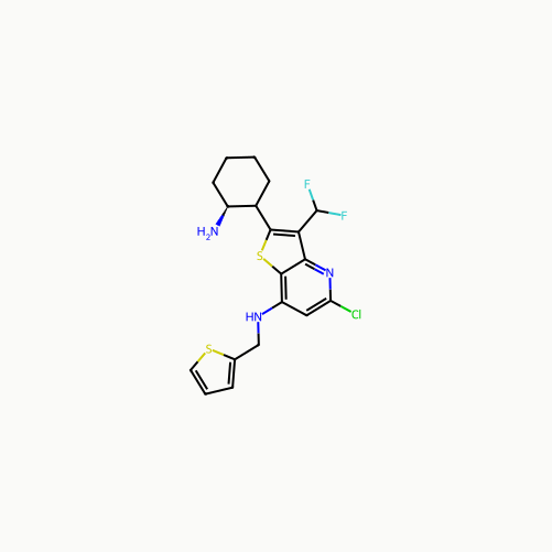 N[C@H]1CCCCC1c1sc2c(NCc3cccs3)cc(Cl)nc2c1C(F)F